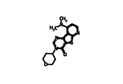 CN(C)c1ccnc2sc3c(=O)n(C4CCOCC4)cnc3c12